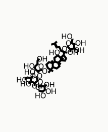 CC(C)=CCCC(C)(OC1OC(CO)C(O)C(O)C1O)C1CCC2(C)C1C(O)CC1C3(C)CCC(OC4OC(CO)C(O)C(O)C4OC4OC(CO)C(O)C(O)C4OC4OCC(O)C(O)C4O)C(C)(C)C3CCC12C